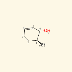 CC[C@H]1CCC=C[C@@H]1O